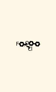 Fc1ccc([C@@H](CCCl)Oc2ccc(-c3ccccc3)cc2)cc1